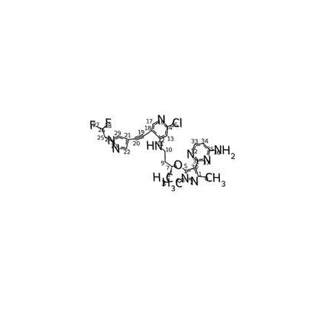 Cc1nn(C)c(O[C@@H](C)CCNc2cc(Cl)ncc2C#Cc2cnn(CC(F)F)c2)c1-c1nccc(N)n1